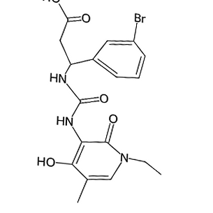 CCn1cc(C)c(O)c(NC(=O)NC(CC(=O)O)c2cccc(Br)c2)c1=O